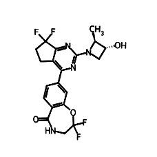 C[C@H]1[C@H](O)CN1c1nc(-c2ccc3c(c2)OC(F)(F)CNC3=O)c2c(n1)C(F)(F)CC2